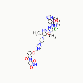 CCc1cc(Nc2ncc(Br)c(Nc3ccc4nccnc4c3P(C)(C)=O)n2)c(OC)cc1N1CCC(N2CCN(CCOc3cccc4c3CN(C3CCC(=O)NC3=O)C4=O)CC2)CC1